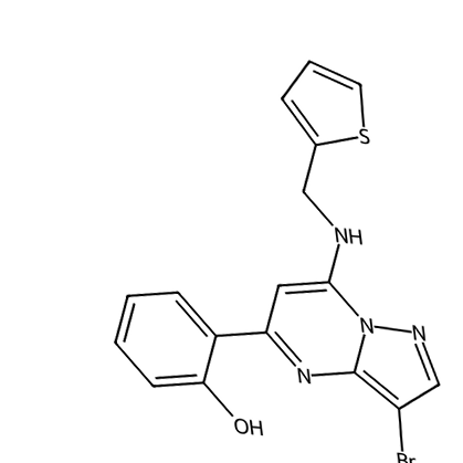 Oc1ccccc1-c1cc(NCc2cccs2)n2ncc(Br)c2n1